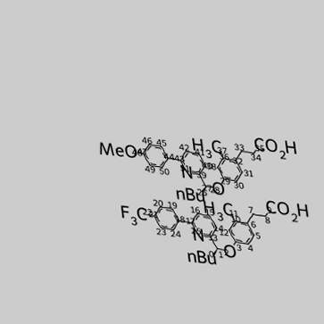 CCCC[C@H](Oc1ccc(CCC(=O)O)c(C)c1)c1cccc(-c2ccc(C(F)(F)F)cc2)n1.CCCC[C@H](Oc1ccc(CCC(=O)O)c(C)c1)c1cccc(-c2ccc(OC)cc2)n1